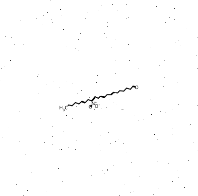 CCCCC/C=C/C/C(=C/C/C=C/C/C=C/CCCCC[C]=O)[N+](=O)[O-]